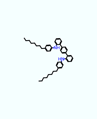 CCCCCCCCc1ccc(Nc2ccccc2-c2ccc(-c3ccccc3Nc3ccc(CCCCCCCC)cc3)cc2)cc1